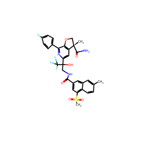 Cc1ccc2c(S(C)(=O)=O)cc(C(=O)NCC(O)(c3cc4c(c(-c5ccc(F)cc5)n3)OC[C@]4(C)C(N)=O)C(F)(F)F)cc2c1